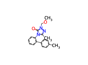 COCn1nc(C)n(-c2ccccc2-c2ccc(C)cc2)c1=O